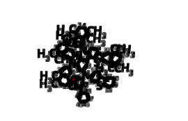 CC1(C)CCC(C)(C)c2cc(N3B4c5cc6c(cc5N(c5ccc7c(c5)C(C)(C)CCC7(C)C)c5cc(N(c7cccc(-c8ccccc8)c7)c7ccc8c(c7)sc7ccccc78)cc(c54)-c4c3ccc3c4sc4cc5c(cc43)C(C)(C)CCC5(C)C)C(C)(C)CCC6(C)C)ccc21